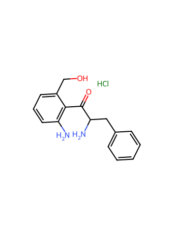 Cl.Nc1cccc(CO)c1C(=O)C(N)Cc1ccccc1